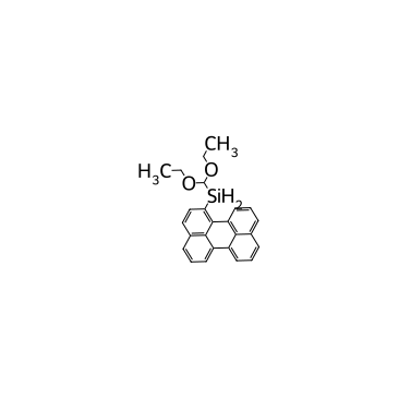 CCOC(OCC)[SiH2]c1ccc2cccc3c4cccc5cccc(c1c23)c54